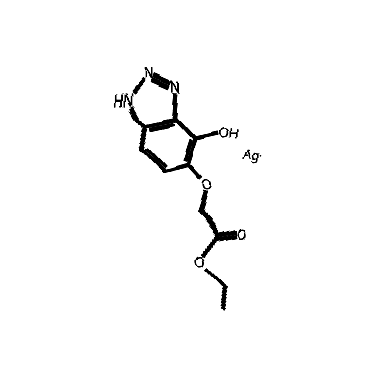 CCOC(=O)COc1ccc2[nH]nnc2c1O.[Ag]